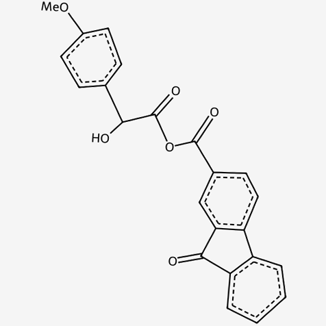 COc1ccc(C(O)C(=O)OC(=O)c2ccc3c(c2)C(=O)c2ccccc2-3)cc1